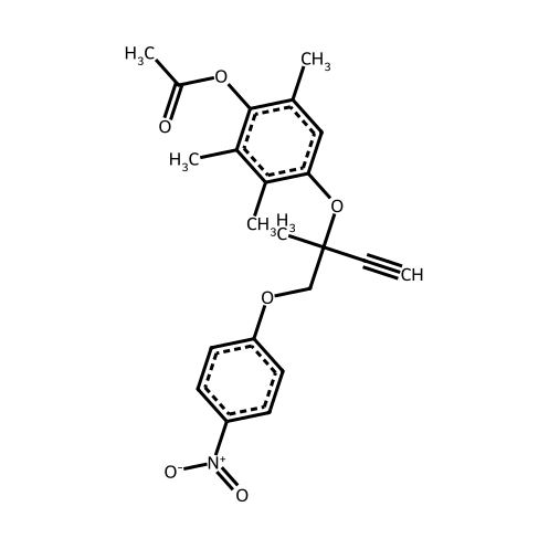 C#CC(C)(COc1ccc([N+](=O)[O-])cc1)Oc1cc(C)c(OC(C)=O)c(C)c1C